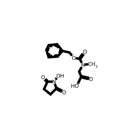 CN(CC(=O)O)C(=O)OCc1ccccc1.O=C1CCC(=O)N1O